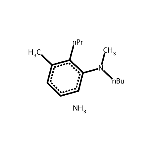 CCCCN(C)c1cccc(C)c1CCC.N